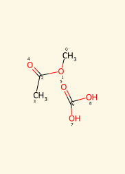 COC(C)=O.O=C(O)O